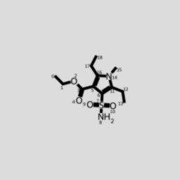 CCOC(=O)c1c(S(N)(=O)=O)c(CC)n(C)c1CC